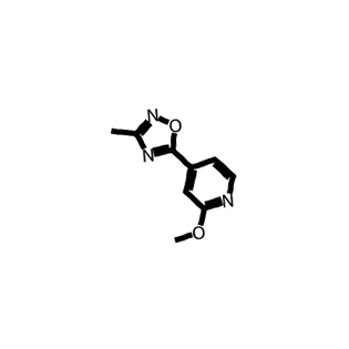 COc1cc(-c2nc(C)no2)ccn1